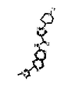 CCN1CCC(n2cc(C(=O)Nc3cc4cc(-c5cnn(C)c5)ncc4cn3)cn2)CC1